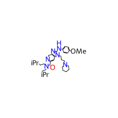 COc1ccc(Nc2nc3cnc(C(=O)N(CCC(C)C)CCC(C)C)cc3n2CCCN2CCCCC2)cc1